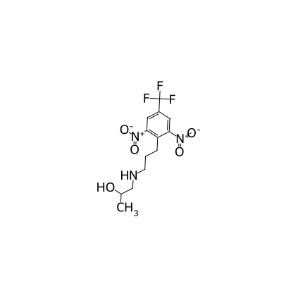 CC(O)CNCCCc1c([N+](=O)[O-])cc(C(F)(F)F)cc1[N+](=O)[O-]